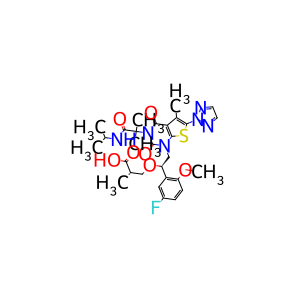 COc1ccc(F)cc1[C@H](Cn1c(=O)n(C(C)(C)C(=O)NC(C)C)c(=O)c2c(C)c(-n3nccn3)sc21)OC[C@H](C)C(=O)O